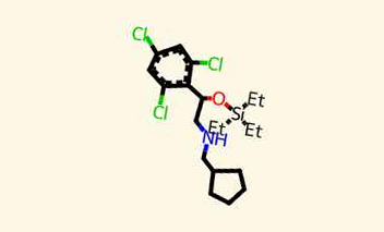 CC[Si](CC)(CC)OC(CNCC1CCCC1)c1c(Cl)cc(Cl)cc1Cl